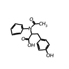 CC(=O)N(c1ccccc1)C(Cc1ccc(O)cc1)C(=O)O